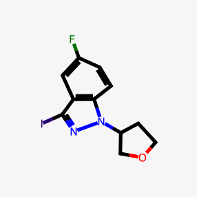 Fc1ccc2c(c1)c(I)nn2C1CCOC1